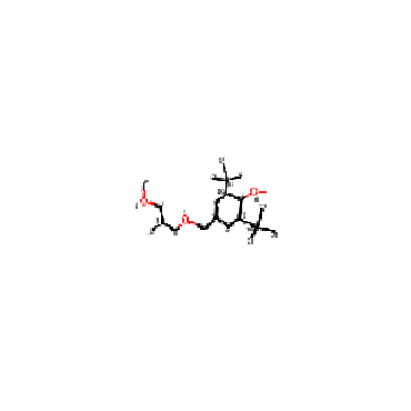 COCC(C)COCC1CC(C(C)(C)C)C(O)C(C(C)(C)C)C1